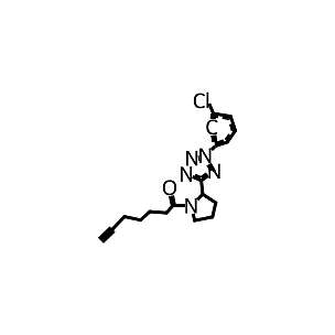 C#CCCCCC(=O)N1CCCC1c1nnn(-c2cccc(Cl)c2)n1